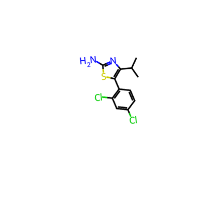 CC(C)c1nc(N)sc1-c1ccc(Cl)cc1Cl